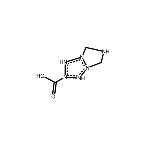 O=C(O)n1[nH]n2n([nH]1)CNC2